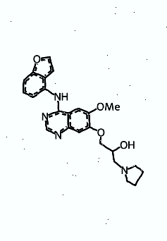 COc1cc2c(Nc3cccc4occc34)ncnc2cc1OCC(O)CN1CCCC1